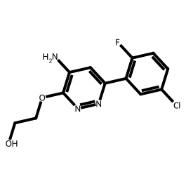 Nc1cc(-c2cc(Cl)ccc2F)nnc1OCCO